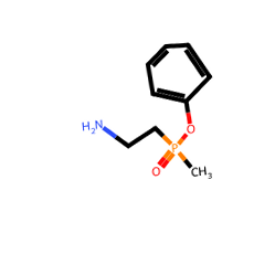 CP(=O)(CCN)Oc1ccccc1